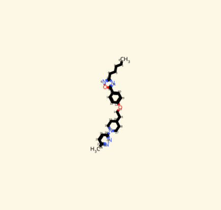 CCCCCc1noc(-c2ccc(OCCC3CCN(c4ccc(C)nn4)CC3)cc2)n1